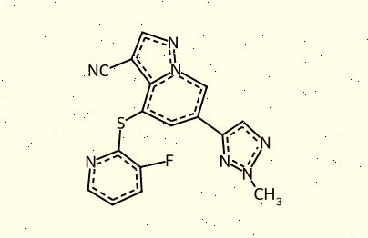 Cn1ncc(-c2cc(Sc3ncccc3F)c3c(C#N)cnn3c2)n1